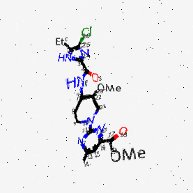 CCc1[nH]c(C(=O)NC2CCN(c3nc(C)cc(C(=O)OC)n3)CC2OC)nc1Cl